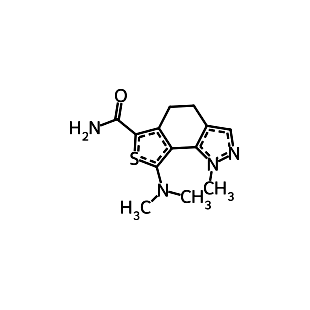 CN(C)c1sc(C(N)=O)c2c1-c1c(cnn1C)CC2